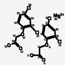 O=C([O-])COc1ccc(Cl)cc1Cl.O=C([O-])COc1ccc(Cl)cc1Cl.[Mg+2]